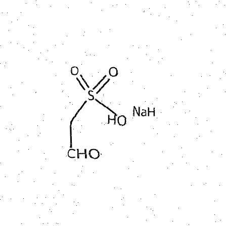 O=[C]CS(=O)(=O)O.[NaH]